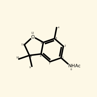 CC(=O)Nc1cc(C)c2c(c1)C(C)(C)CO2